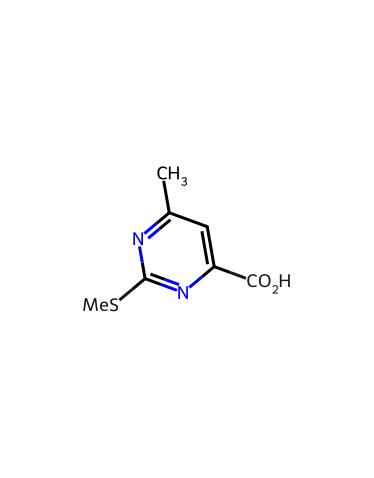 CSc1nc(C)cc(C(=O)O)n1